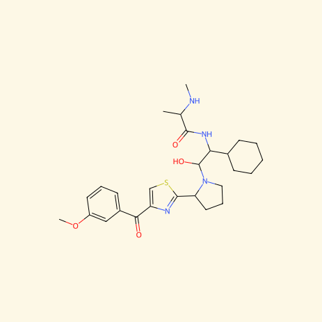 CNC(C)C(=O)NC(C1CCCCC1)C(O)N1CCCC1c1nc(C(=O)c2cccc(OC)c2)cs1